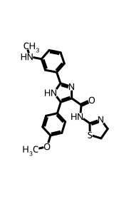 CNc1cccc(-c2nc(C(=O)NC3=NCCS3)c(-c3ccc(OC)cc3)[nH]2)c1